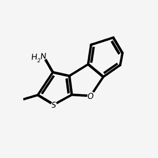 Cc1sc2oc3ccccc3c2c1N